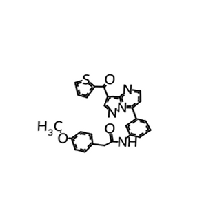 COc1ccc(CC(=O)Nc2cccc(-c3ccnc4c(C(=O)c5cccs5)cnn34)c2)cc1